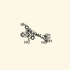 COc1ccccc1Oc1c(OCCO)nc(-c2ncccn2)nc1N(C(C)(C)OC(=O)OCCCCCC(CON(O)O)ON(O)O)S(=O)(=O)c1ccc(C(C)(C)C)cc1